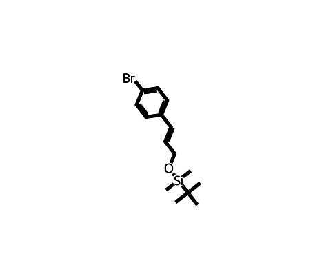 CC(C)(C)[Si](C)(C)OC/C=C/c1ccc(Br)cc1